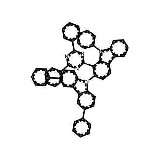 c1ccc(-c2ccc3c(c2)c2cc(-c4ccccc4)ccc2n3-c2ccc3c4ccccc4n(-c4ccccc4)c3c2-c2nc(-c3ccccc3)nc(-c3ccccc3)n2)cc1